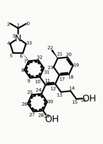 CC(C)N1CC[C@@H](c2ccc(/C(=C(/CCCO)C3=CC=C[C@H](C)C3)c3cccc(O)c3)cc2)C1